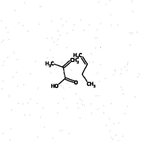 C=C(C)C(=O)O.C=CCC